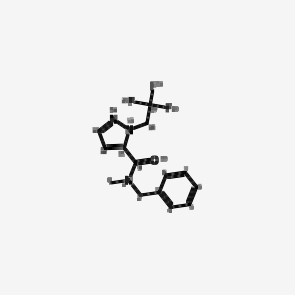 CN(Cc1ccccc1)C(=O)c1[c]cnn1CC(F)(F)F